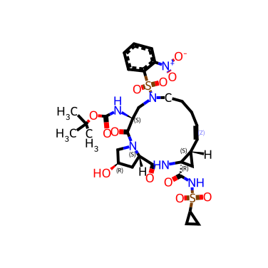 CC(C)(C)OC(=O)N[C@H]1CN(S(=O)(=O)c2ccccc2[N+](=O)[O-])CCC/C=C\[C@@H]2C[C@@]2(C(=O)NS(=O)(=O)C2CC2)NC(=O)[C@@H]2C[C@@H](O)CN2C1=O